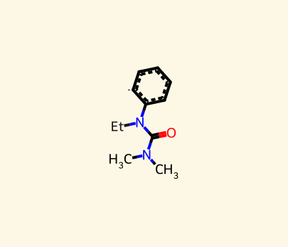 CCN(C(=O)N(C)C)c1[c]cccc1